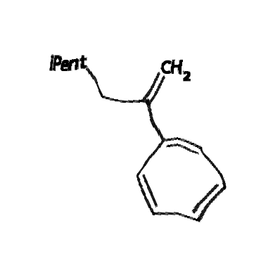 C=C(CC(C)CCC)c1ccccc1